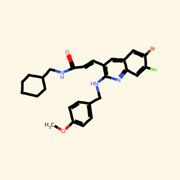 COc1ccc(CNc2nc3cc(F)c(Br)cc3cc2/C=C/C(=O)NCC2CCCCC2)cc1